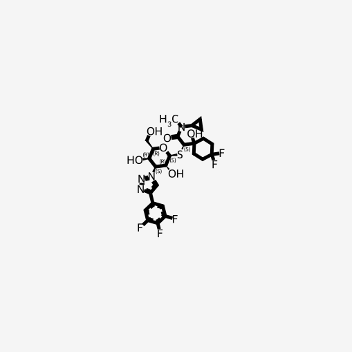 CN(C(=O)[C@@H](S[C@@H]1O[C@H](CO)[C@H](O)[C@H](n2cc(-c3cc(F)c(F)c(F)c3)nn2)[C@H]1O)C1(O)CCC(F)(F)CC1)C1CC1